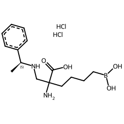 C[C@H](NCC(N)(CCCCB(O)O)C(=O)O)c1ccccc1.Cl.Cl